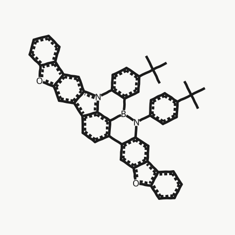 CC(C)(C)c1ccc(N2B3c4cc(C(C)(C)C)ccc4-n4c5cc6c(cc5c5ccc(c3c54)-c3cc4oc5ccccc5c4cc32)oc2ccccc26)cc1